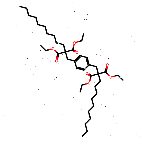 CCCCCCCCCCC(Cc1ccc(CC(CCCCCCCCCC)(C(=O)OCC)C(=O)OCC)cc1)(C(=O)OCC)C(=O)OCC